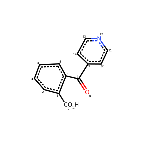 O=C(O)c1ccccc1C(=O)c1ccncc1